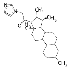 CC1CCC2C(CCC3C2CCC2(C)C(C(=O)Cn4ccnc4)C(C)[C@@H](C)C32)C1